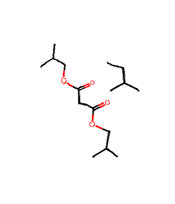 CC(C)COC(=O)CC(=O)OCC(C)C.CCC(C)C